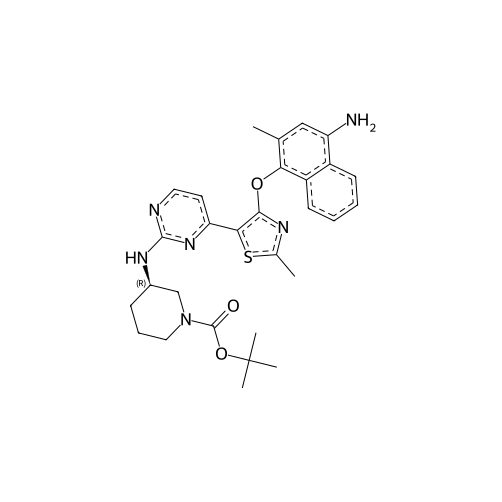 Cc1nc(Oc2c(C)cc(N)c3ccccc23)c(-c2ccnc(N[C@@H]3CCCN(C(=O)OC(C)(C)C)C3)n2)s1